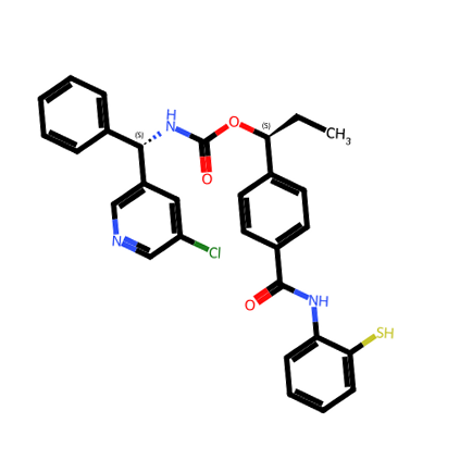 CC[C@H](OC(=O)N[C@@H](c1ccccc1)c1cncc(Cl)c1)c1ccc(C(=O)Nc2ccccc2S)cc1